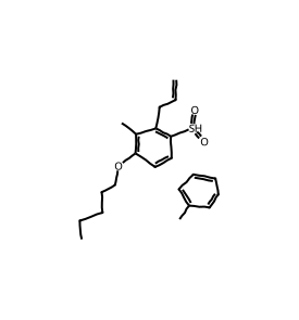 C=CCc1c([SH](=O)=O)ccc(OCCCCC)c1C.Cc1ccccc1